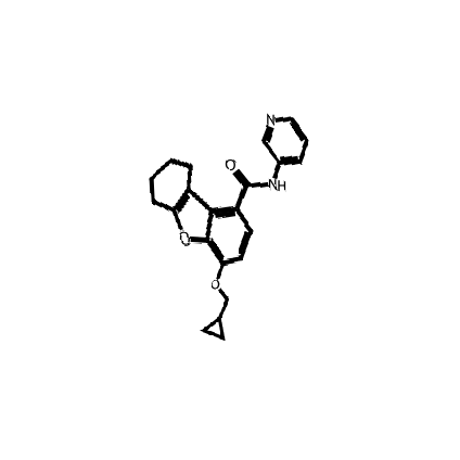 O=C(Nc1cccnc1)c1ccc(OCC2CC2)c2oc3c(c12)CCCC3